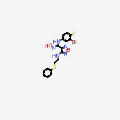 O/N=C(\Nc1ccc(F)c(Br)c1)c1nonc1NCCSc1ccccc1